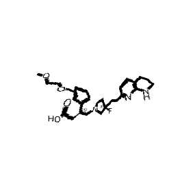 COCCOc1cccc([C@H](CC(=O)O)CN2CC[C@](F)(CCc3ccc4c(n3)NCCC4)C2)c1